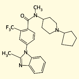 Cc1nc2ccccc2n1-c1ccc(C(=O)N(C)C2CCN(C3CCCC3)CC2)c(C(F)(F)F)c1